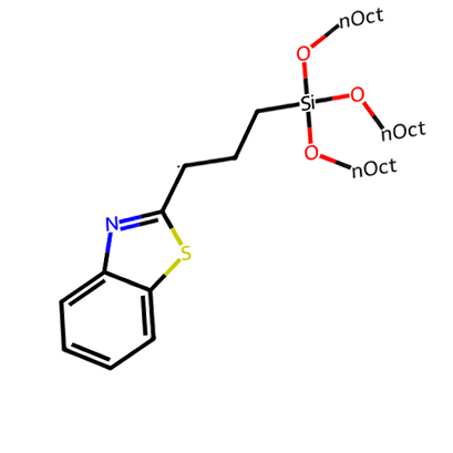 CCCCCCCCO[Si](CC[CH]c1nc2ccccc2s1)(OCCCCCCCC)OCCCCCCCC